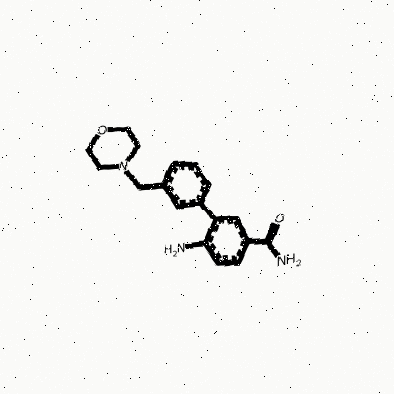 NC(=O)c1ccc(N)c(-c2cccc(CN3CCOCC3)c2)c1